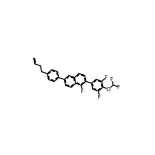 C=CCCc1ccc(-c2ccc3c(F)c(-c4cc(F)c(OC(F)F)c(F)c4)ccc3c2)cc1